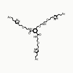 CC(=O)CCc1cn(CCOCCNCOCc2cc(C(=O)NCCOCCn3cc(CCC(C)=O)nn3)cc(C(=O)NCCOCCn3cc(CCC(C)=O)nn3)c2)nn1